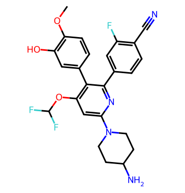 COc1ccc(-c2c(OC(F)F)cc(N3CCC(N)CC3)nc2-c2ccc(C#N)c(F)c2)cc1O